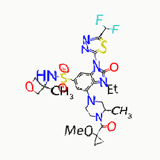 CCn1c(=O)n(-c2nnc(C(F)F)s2)c2cc(S(=O)(=O)NC3(C)COC3)cc(N3CCN(C(=O)C4(OC)CC4)[C@H](C)C3)c21